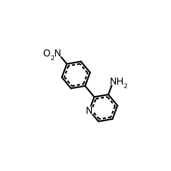 Nc1cccnc1-c1ccc([N+](=O)[O-])cc1